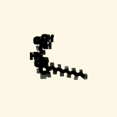 CCCCCCCCCCc1cccc2oc(NCCNC(=O)O)nc12